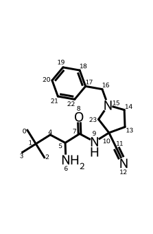 CC(C)(C)CC(N)C(=O)NC1(C#N)CCN(Cc2ccccc2)C1